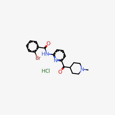 CN1CCC(C(=O)c2cccc(NC(=O)c3ccccc3Br)n2)CC1.Cl